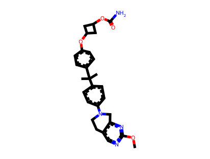 COc1ncc2c(n1)CN(c1ccc(C(C)(C)c3ccc(OC4CC(OC(N)=O)C4)cc3)cc1)CC2